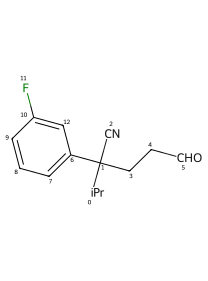 CC(C)C(C#N)(CCC=O)c1cccc(F)c1